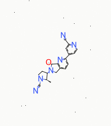 C[C@@H]1[C@H](N2Cc3ccc(-c4ccnc(C#N)c4)nc3C2=O)CCN1C#N